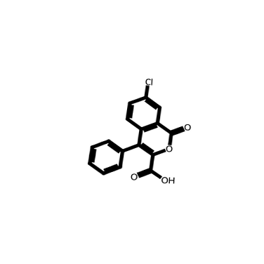 O=C(O)c1oc(=O)c2cc(Cl)ccc2c1-c1ccccc1